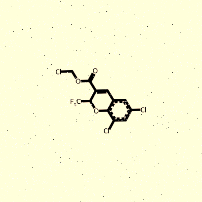 O=C(OCCl)C1=Cc2cc(Cl)cc(Cl)c2OC1C(F)(F)F